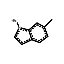 Cc1ccc2ccn(C(C)(C)C)c2c1